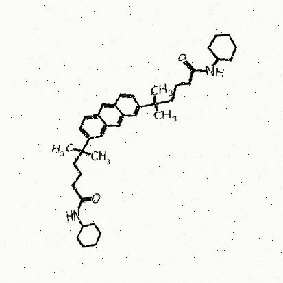 CC(C)(CCCC(=O)NC1CCCCC1)c1ccc2cc3ccc(C(C)(C)CCCC(=O)NC4CCCCC4)cc3cc2c1